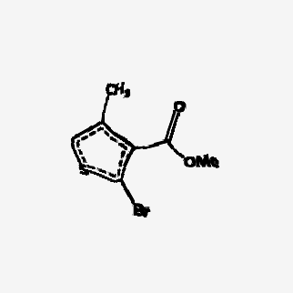 COC(=O)c1c(C)csc1Br